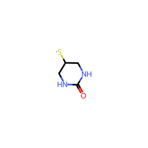 O=C1NCC([S])CN1